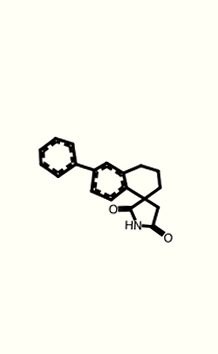 O=C1CC2(CCCc3cc(-c4ccccc4)ccc32)C(=O)N1